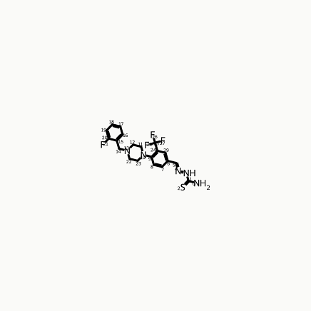 NC(=S)NN=Cc1ccc(N2CCN(Cc3ccccc3F)CC2)c(C(F)(F)F)c1